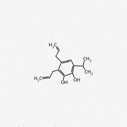 C=CCc1cc(C(C)C)c(O)c(O)c1CC=C